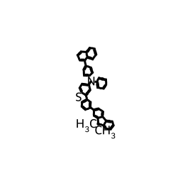 CC1(C)c2ccccc2-c2ccc(-c3ccc4sc5ccc(N(c6ccccc6)c6ccc(-c7cccc8ccccc78)cc6)cc5c4c3)cc21